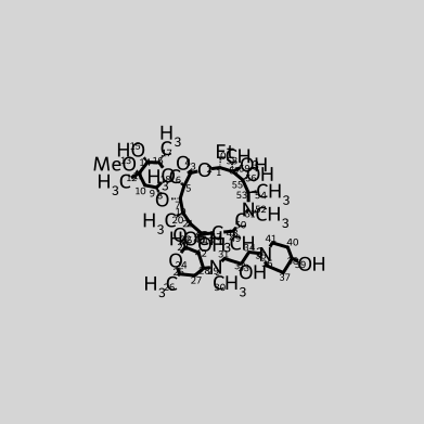 CC[C@H]1OC(=O)[C@H](C)[C@@H](O[C@H]2C[C@@](C)(OC)[C@@H](O)[C@H](C)O2)[C@H](C)[C@@H](O[C@@H]2O[C@H](C)CC(N(C)CC(O)CN3CCC(O)CC3)[C@H]2O)[C@](C)(O)C[C@@H](C)CN(C)[C@H](C)[C@@H](O)[C@]1(C)O